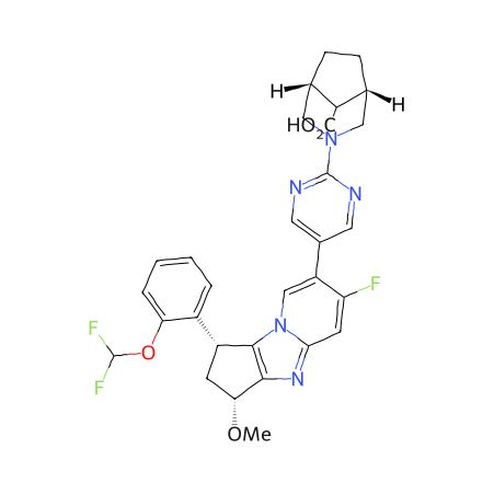 CO[C@@H]1C[C@H](c2ccccc2OC(F)F)c2c1nc1cc(F)c(-c3cnc(N4C[C@H]5CC[C@@H](C4)C5C(=O)O)nc3)cn21